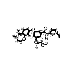 CCn1ccc(NC(=O)c2cc(Oc3ccc4c(c3Cl)OCCN(C)C4=O)cc(O[C@@H](C)COC)c2)n1